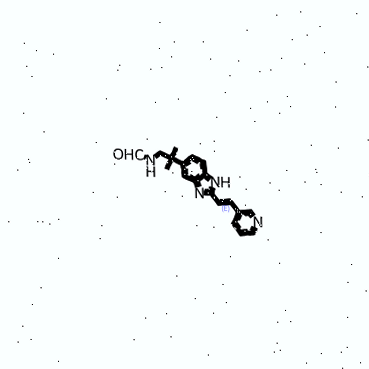 CC(C)(CNC=O)c1ccc2[nH]c(/C=C/c3cccnc3)nc2c1